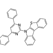 c1ccc(-c2cc(-c3ccccc3)nc(-n3c4ccccc4c4c5ccccc5sc43)n2)cc1